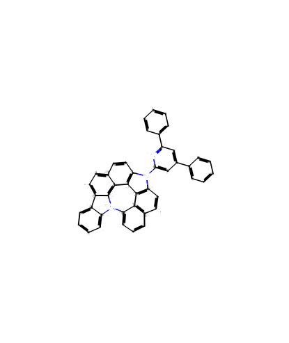 c1ccc(-c2cc(-c3ccccc3)nc(-n3c4ccc5cccc6c5c4c4c5c(ccc7c8ccccc8n6c75)ccc43)c2)cc1